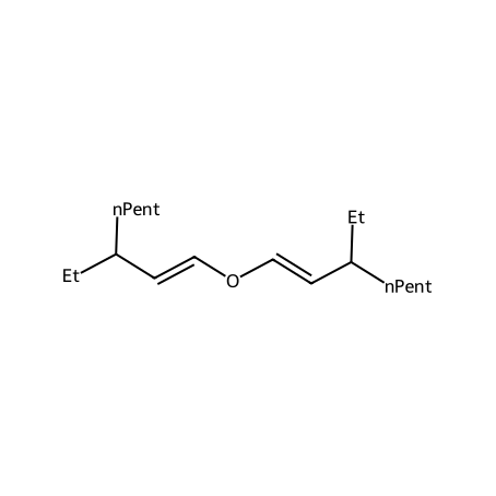 CCCCCC(/C=C/O/C=C/C(CC)CCCCC)CC